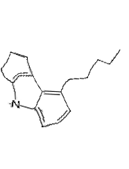 CCCCCc1cccc2c1C1=C(CCC1)[N]2